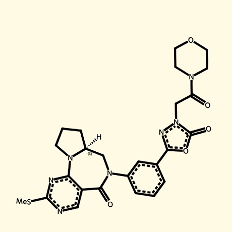 CSc1ncc2c(n1)N1CCC[C@H]1CN(c1cccc(-c3nn(CC(=O)N4CCOCC4)c(=O)o3)c1)C2=O